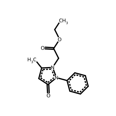 CCOC(=O)Cn1c(C)cc(=O)n1-c1ccccc1